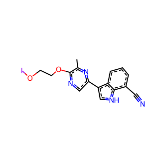 Cc1nc(-c2c[nH]c3c(C#N)cccc23)cnc1OCCOI